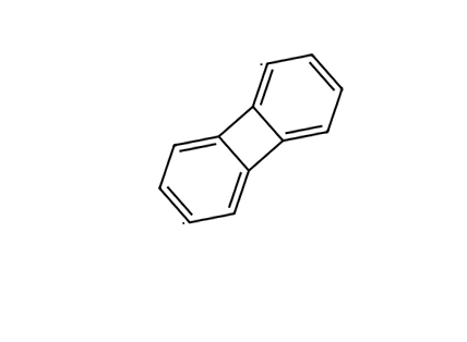 [c]1ccc2c(c1)-c1ccc[c]c1-2